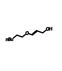 CCCCCCOC=CCO